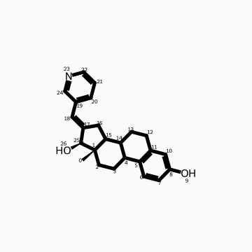 C[C@]12CCC3c4ccc(O)cc4CCC3C1C/C(=C\c1cccnc1)[C@@H]2O